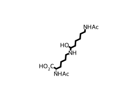 CC(=O)NCCCCCC(O)NCCCC[C@H](NC(C)=O)C(=O)O